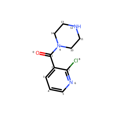 O=C(c1cccnc1Cl)N1CCNCC1